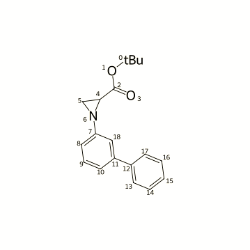 CC(C)(C)OC(=O)C1CN1c1cccc(-c2ccccc2)c1